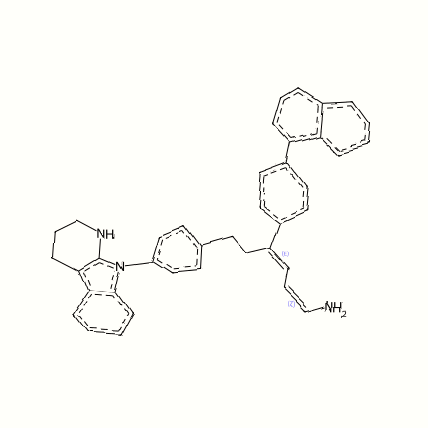 N/C=C\C=C(/CCc1ccc(-n2c3c(c4ccccc42)CCCN3)cc1)c1ccc(-c2cccc3ccccc23)cc1